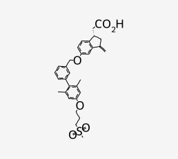 C=C1C[C@@H](CC(=O)O)c2ccc(OCc3cccc(-c4c(C)cc(OCCCS(C)(=O)=O)cc4C)c3)cc21